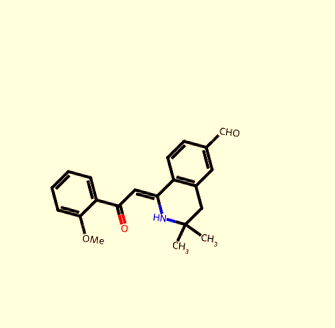 COc1ccccc1C(=O)C=C1NC(C)(C)Cc2cc(C=O)ccc21